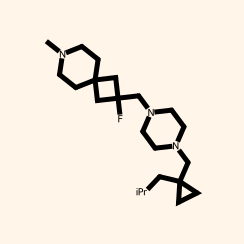 CC(C)CC1(CN2CCN(CC3(F)CC4(CCN(C)CC4)C3)CC2)CC1